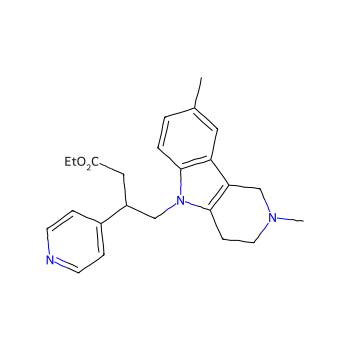 CCOC(=O)CC(Cn1c2c(c3cc(C)ccc31)CN(C)CC2)c1ccncc1